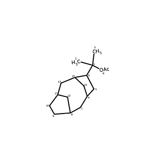 CC(=O)OC(C)(C)C1CC2CC3CCC(C3)CC1C2